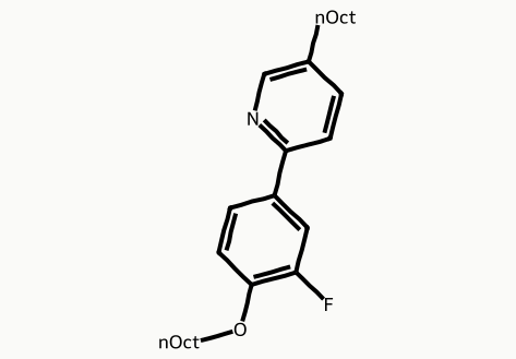 CCCCCCCCOc1ccc(-c2ccc(CCCCCCCC)cn2)cc1F